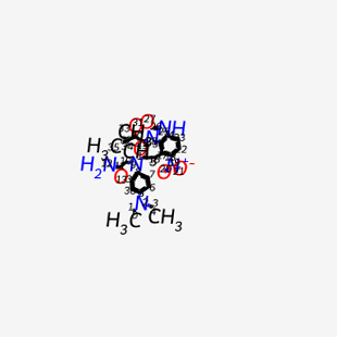 CCN(CC)c1ccc(N(CC(N)=O)C(=O)Cc2c([N+](=O)[O-])ccc3[nH]c(=O)n(CC(=O)C(C)(C)C)c23)cc1